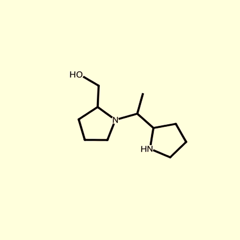 CC(C1CCCN1)N1CCCC1CO